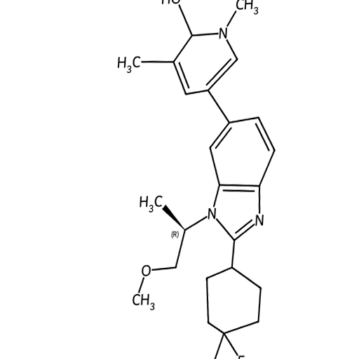 COC[C@@H](C)n1c(C2CCC(F)(F)CC2)nc2ccc(C3=CN(C)C(O)C(C)=C3)cc21